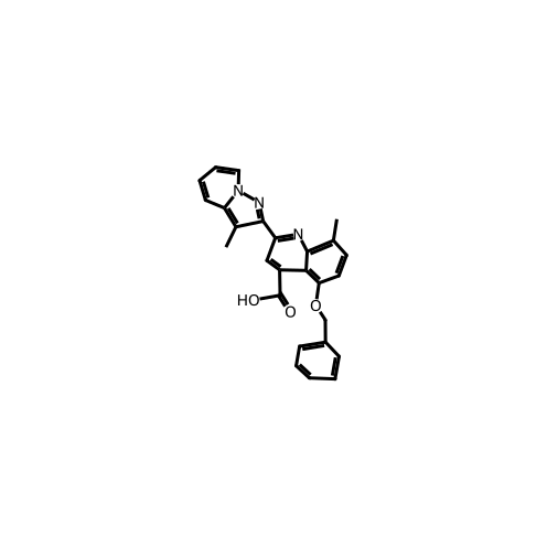 Cc1ccc(OCc2ccccc2)c2c(C(=O)O)cc(-c3nn4ccccc4c3C)nc12